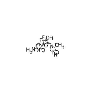 CC1c2ccnn2CCN1C[C@H]1O[C@@H](n2ccc(N)nc2=O)C(F)(F)[C@@H]1O